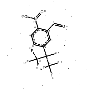 O=Cc1cc(C(F)(C(F)(F)F)C(F)(F)F)ccc1[N+](=O)[O-]